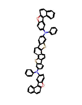 c1ccc(N(c2ccc3c(c2)sc2c3ccc3c2ccc2c4ccc(N(c5ccccc5)c5ccc6oc7ccc8ccccc8c7c6c5)cc4sc23)c2ccc3oc4ccc5ccccc5c4c3c2)cc1